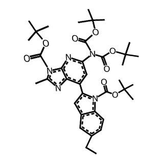 CCc1ccc2c(c1)cc(-c1cc(N(C(=O)OC(C)(C)C)C(=O)OC(C)(C)C)nc3c1nc(C)n3C(=O)OC(C)(C)C)n2C(=O)OC(C)(C)C